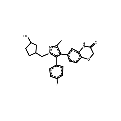 Cc1nn(CC2CCC(O)C2)c(-c2ccc(F)cc2)c1-c1ccc2c(c1)NC(=O)CO2